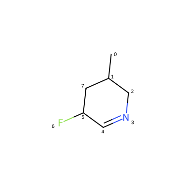 CC1CN=CC(F)C1